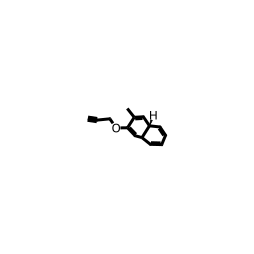 C#CCOC1=CC2C=CC=C[C@H]2C=C1C